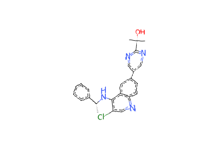 C[C@@H](Nc1c(Cl)cnc2ccc(-c3cnc(C(C)(C)O)nc3)cc12)c1ccccc1